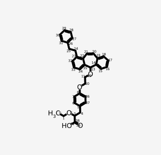 CCOC(Cc1ccc(OCCOC2c3ccccc3C=Cc3c(CCc4ccccc4)cccc32)cc1)C(=O)O